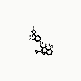 N=C(/C(COc1ccc(C2(O)CNC2)c(Cl)c1)=C(\O)C1CC1)c1c(Cl)cccc1Cl